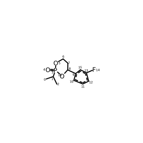 CC(C)P1(=O)OCCC(c2cccc(F)c2)O1